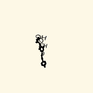 CC1=C[C@@H](OCC#Cc2ccc(C)cc2)CC(C)(C)[C@@]1(O)/C=C/C(C)=C\C(=O)O